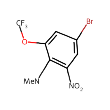 CNc1c(OC(F)(F)F)cc(Br)cc1[N+](=O)[O-]